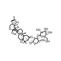 CC(C)=C[C@@H]1CO[C@]23C[C@]4(CO2)[C@H](CC[C@@H]2[C@@]5(C)CC[C@H](O[C@@H]6OC[C@H](O)[C@H](O[C@@H]7O[C@H](CO)[C@@H](O)[C@H](O)[C@H]7O)[C@H]6O)C(C)(C)[C@@H]5CC[C@]24C)[C@H]3[C@@]1(C)O